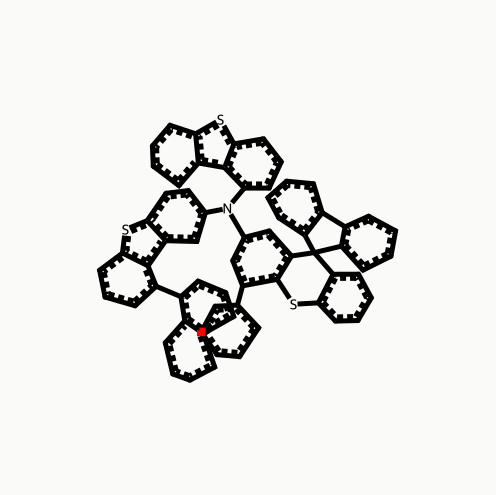 c1ccc(-c2cc(N(c3ccc4sc5cccc(-c6cccc7ccccc67)c5c4c3)c3cccc4sc5ccccc5c34)cc3c2Sc2ccccc2C32c3ccccc3-c3ccccc32)cc1